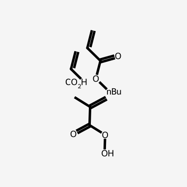 C=C(C)C(=O)OO.C=CC(=O)O.C=CC(=O)OCCCC